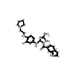 NC1=NC(Nc2ccc(OCCN3CCCC3)c(F)c2)N(C(=O)c2ccc3cc[nH]c3c2)N1